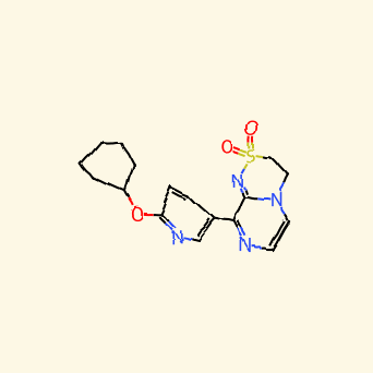 O=S1(=O)CCN2C=CN=C(c3ccc(OC4CCCCC4)nc3)C2=N1